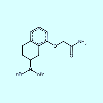 CCCN(CCC)C1CCc2cccc(OCC(N)=O)c2C1